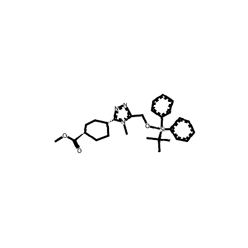 COC(=O)[C@H]1CC[C@H](c2nnc(CO[Si](c3ccccc3)(c3ccccc3)C(C)(C)C)n2C)CC1